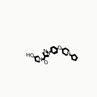 O=C(c1cnn(-c2ccc(OC3CCN(C4CCCC4)CC3)cc2)c1)N1CCC(O)C1